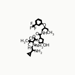 CCC(CNC(=O)C1CC(O)CN1C(=O)C(N(N)CC(N)C1CC1)C(C)(C)C)Oc1cccc(C(F)(F)F)c1